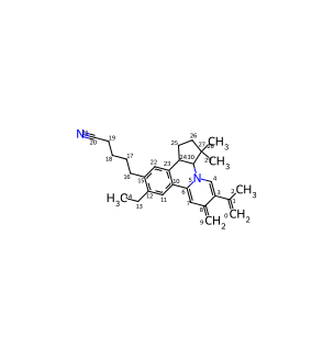 C=C(C)C1=CN2C(=CC1=C)c1cc(CC)c(CCCCC#N)cc1C1CCC(C)(C)C12